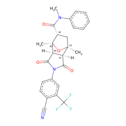 CN(C(=O)[C@@H]1C[C@]2(C)O[C@@]1(C)[C@@H]1C(=O)N(c3ccc(C#N)c(C(F)(F)F)c3)C(=O)[C@@H]12)c1ccccc1